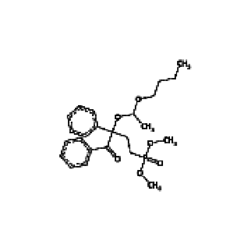 CCCCOC(C)OC(CCP(=O)(OC)OC)(C(=O)c1ccccc1)c1ccccc1